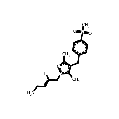 Cc1nn(C/C(F)=C/CN)c(C)c1Cc1ccc(S(C)(=O)=O)cc1